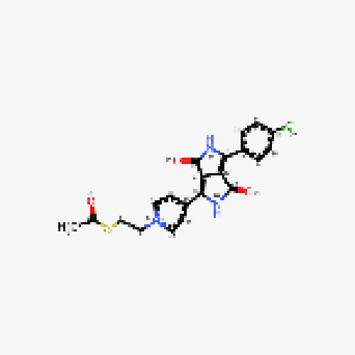 CC(=O)SCC[n+]1ccc(C2=C3C(=O)NC(c4ccc(Cl)cc4)=C3C(=O)N2)cc1